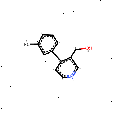 N#Cc1cccc(-c2ccncc2CO)c1